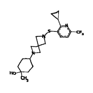 CC1(O)CCC(N2CC3(CN(Sc4ccc(C(F)(F)F)nc4C4CC4)C3)C2)CC1